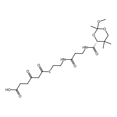 COC1(C)OCC(C)(C)[C@H](C(=O)NCCC(=O)NCCSC(=O)CC(=O)CCC(=O)O)O1